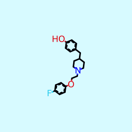 Oc1ccc(CC2CCN(CCOc3ccc(F)cc3)CC2)cc1